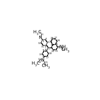 CCN=C1C=CC(=C(c2ccc(N(CC)CC)cc2)c2ccc(NC)c3ccccc23)C=C1